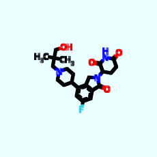 CC(C)(CO)CN1CCC(c2cc(F)cc3c2CN(C2CCC(=O)NC2=O)C3=O)CC1